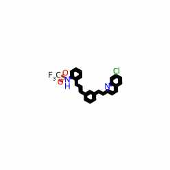 O=S(=O)(Nc1ccccc1CC=Cc1cccc(CCc2ccc3ccc(Cl)cc3n2)c1)C(F)(F)F